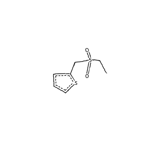 CCS(=O)(=O)Cc1cccs1